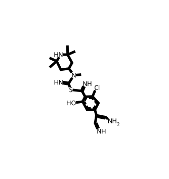 CN(C(=N)SC(=N)c1c(O)cc(/C(C=N)=C/N)cc1Cl)C1CC(C)(C)NC(C)(C)C1